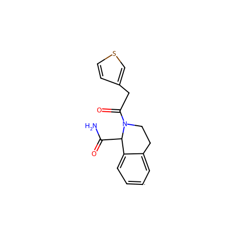 NC(=O)C1c2cc[c]cc2CCN1C(=O)Cc1ccsc1